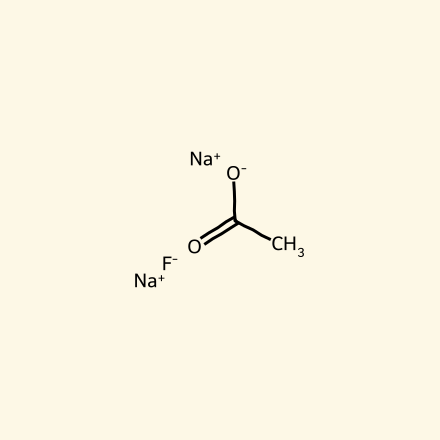 CC(=O)[O-].[F-].[Na+].[Na+]